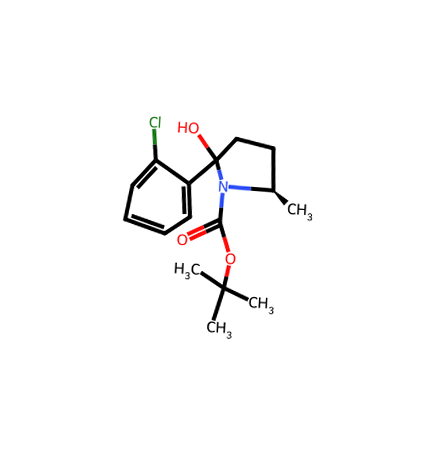 C[C@@H]1CCC(O)(c2ccccc2Cl)N1C(=O)OC(C)(C)C